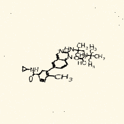 Cc1ccc(C(=O)NC2CC2)cc1-c1ccc2nc(NC(C)(C)CN(C(=O)O)C(C)(C)C)ncc2c1